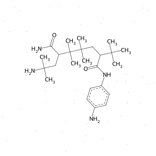 CC(C)(N)CC(C(N)=O)C(C)(C)C(C)(C)CC(C(=O)Nc1ccc(N)cc1)C(C)(C)C